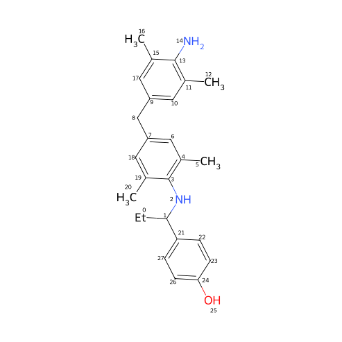 CCC(Nc1c(C)cc(Cc2cc(C)c(N)c(C)c2)cc1C)c1ccc(O)cc1